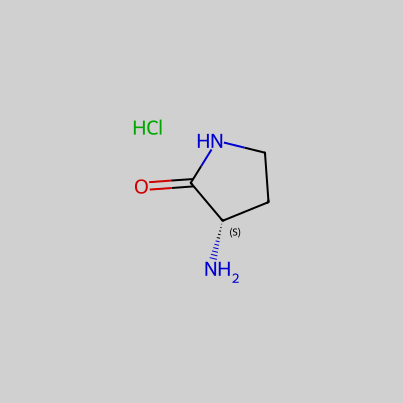 Cl.N[C@H]1CCNC1=O